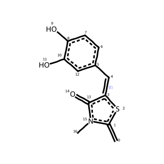 C=c1s/c(=C/c2ccc(O)c(O)c2)c(=O)n1C